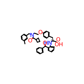 Cc1cccc(CN(CCOc2ccc(C[C@H](Nc3ccccc3C(=O)c3ccccc3)C(=O)O)cc2)C(=O)C2CCC2)c1